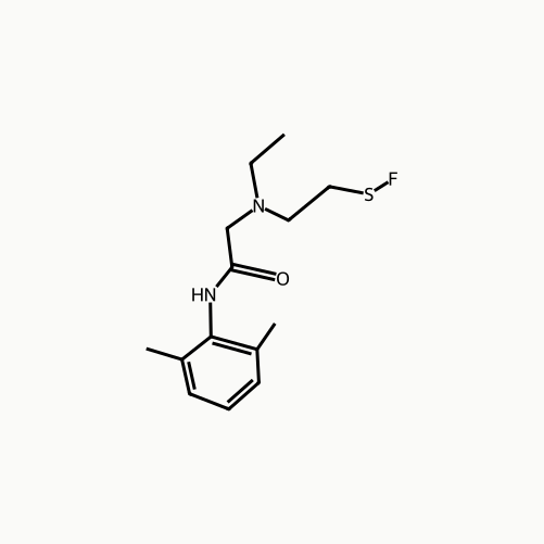 CCN(CCSF)CC(=O)Nc1c(C)cccc1C